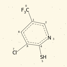 FC(F)(F)c1cnc(S)c(Cl)c1